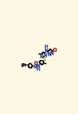 Cc1cc(NC2=CC(=O)N=N2)nc(Sc2ccc(NC(=O)Nc3ccc(C(C)C)cc3)cc2C)n1